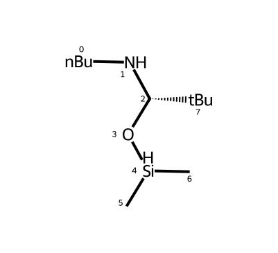 CCCCN[C@@H](O[SiH](C)C)C(C)(C)C